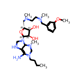 CCCCN1CN(C)C2C(=C1N)NCN2[C@@H]1O[C@H](CN(C)CCN(C)Cc2cccc(OC)c2)[C@@H](O)[C@H]1O